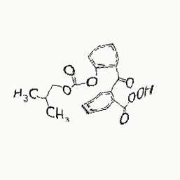 CC(C)COC(=O)Oc1ccccc1C(=O)c1ccccc1C(=O)OO